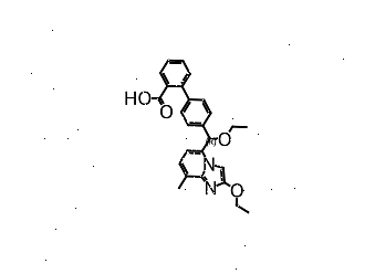 CCOc1cn2c([C@H](OCC)c3ccc(-c4ccccc4C(=O)O)cc3)ccc(C)c2n1